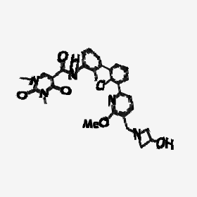 COc1nc(-c2cccc(-c3cccc(NC(=O)c4cn(C)c(=O)n(C)c4=O)c3C)c2Cl)ccc1CN1CC(O)C1